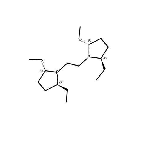 CC[C@@H]1CC[C@@H](CC)P1CCP1[C@@H](CC)CC[C@@H]1CC